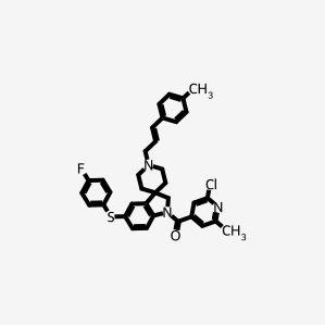 Cc1ccc(C=CCN2CCC3(CC2)CN(C(=O)c2cc(C)nc(Cl)c2)c2ccc(Sc4ccc(F)cc4)cc23)cc1